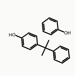 CC(C)(c1ccccc1)c1ccc(O)cc1.Oc1ccccc1